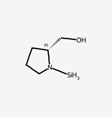 OC[C@H]1CCCN1[SiH3]